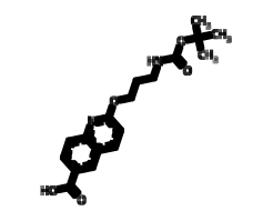 CC(C)(C)OC(=O)NCCCOc1ccc2cc(C(=O)O)ccc2n1